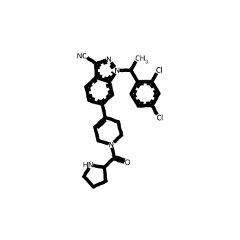 CC(c1ccc(Cl)cc1Cl)n1nc(C#N)c2ccc(C3=CCN(C(=O)C4CCCN4)CC3)cc21